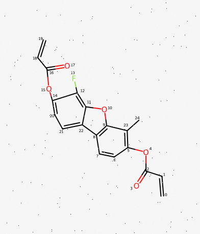 C=CC(=O)Oc1ccc2c(oc3c(F)c(OC(=O)C=C)ccc32)c1C